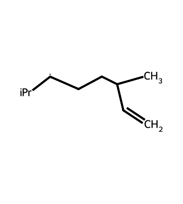 C=CC(C)CC[CH]C(C)C